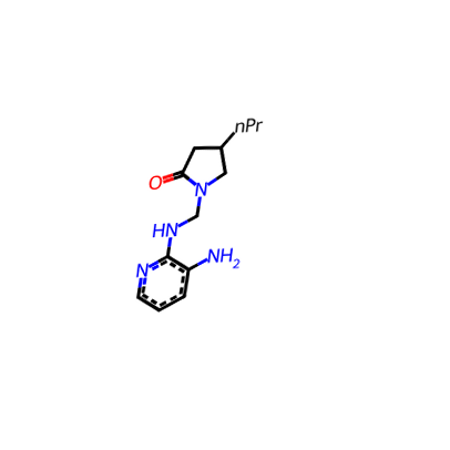 CCCC1CC(=O)N(CNc2ncccc2N)C1